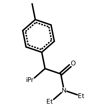 CCN(CC)C(=O)C(c1ccc(C)cc1)C(C)C